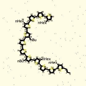 C/C=C/c1cc(CCCCCC)c(-c2ccc(-c3ccc(-c4sc(-c5cc(CCCC)c(-c6ccc(-c7ccc(-c8sc(-c9cc(CCCCCC)c(-c%10ccc(-c%11ccc(-c%12sccc%12CCCCCC)s%11)s%10)s9)cc8CCCC)s7)s6)s5)cc4CCCCCC)s3)s2)s1